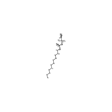 CCCCCCCCCCCCSC(=S)SC(C)(C)C#N